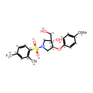 COc1ccc(O[C@H]2CN(S(=O)(=O)c3ccc(C(F)(F)F)cc3C#N)C[C@@]2(O)CO)cc1